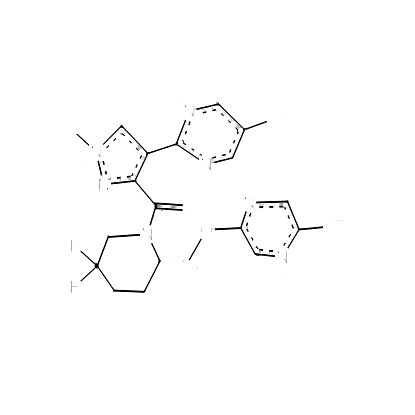 C[C@@H]1CC(F)(F)CN(C(=O)c2nn(C)cc2-c2ncc(F)cn2)[C@@H]1COc1cnc(C(F)(F)F)cn1